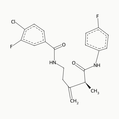 C=C(CCNC(=O)c1ccc(Cl)c(F)c1)[C@H](C)C(=O)Nc1ccc(F)cc1